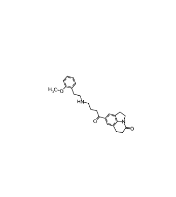 COc1ccccc1CCNCCCC(=O)c1cc2c3c(c1)CCN3C(=O)CC2